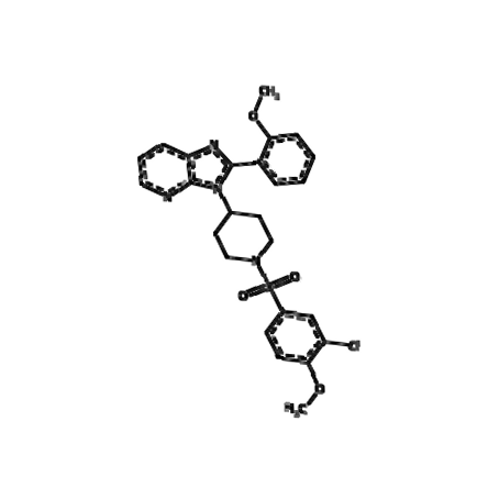 COc1ccc(S(=O)(=O)N2CCC(n3c(-c4ccccc4OC)nc4cccnc43)CC2)cc1Cl